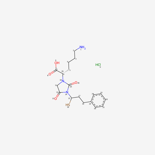 Cl.NCCCC[C@@H](C(=O)O)N1CC(=O)N(C(S)CCc2ccccc2)C1=O